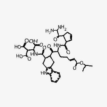 CC(C)OC(=O)/C=C/CCC(NC(=O)C1C=CCC1C(=O)C(N)N)C(=O)C1Cc2c([nH]c3ccccc23)CC1C(=O)NC(C(=O)O)C(C(=O)O)C(=O)O